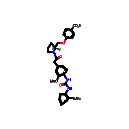 COc1ccccc1NC(=O)Nc1ccc(CC(=O)N2CCC[C@]2(F)COc2ccc(C(=O)O)cc2)cc1OC